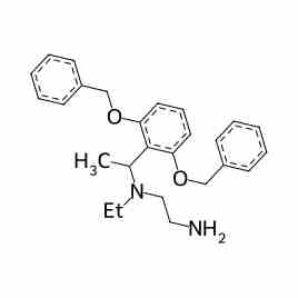 CCN(CCN)C(C)c1c(OCc2ccccc2)cccc1OCc1ccccc1